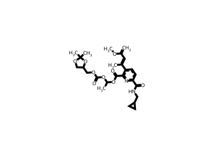 C=C(/C=C(\C)c1ccc(C(=O)NCC2CC2)nc1C(=O)OC(C)OC(=O)OCC1COC(C)(C)O1)OC